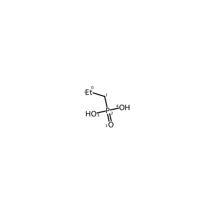 C[CH]CP(=O)(O)O